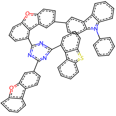 c1ccc(-n2c3ccccc3c3cc(-c4ccc5oc6cccc(-c7nc(-c8ccc9c(c8)oc8ccccc89)nc(-c8cccc9sc%10ccccc%10c89)n7)c6c5c4)ccc32)cc1